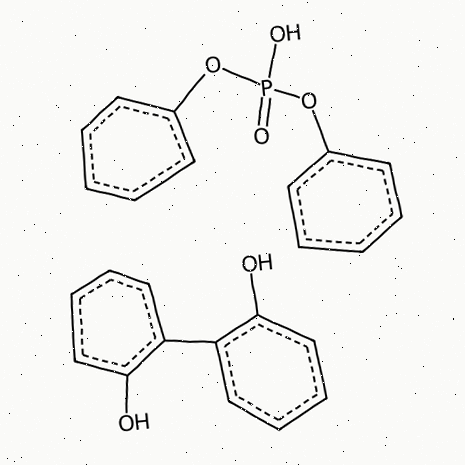 O=P(O)(Oc1ccccc1)Oc1ccccc1.Oc1ccccc1-c1ccccc1O